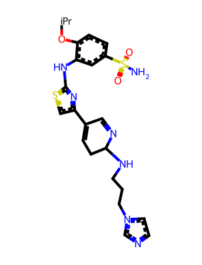 CC(C)Oc1ccc(S(N)(=O)=O)cc1Nc1nc(C2=CCC(NCCCn3ccnc3)N=C2)cs1